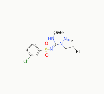 CCC1C=NN(/C(=N/S(=O)(=O)c2cccc(Cl)c2)NOC)C1